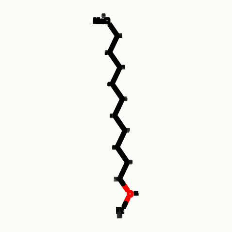 [CH2]OCCCCCCCCCCOCC